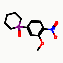 COc1cc(P2(=O)CCCCC2)ccc1[N+](=O)[O-]